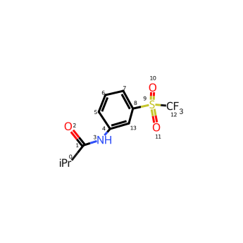 CC(C)C(=O)Nc1cccc(S(=O)(=O)C(F)(F)F)c1